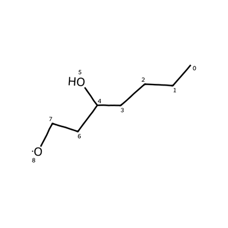 CCCCC(O)CC[O]